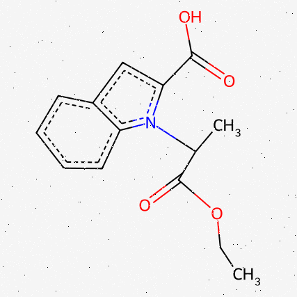 CCOC(=O)C(C)n1c(C(=O)O)cc2ccccc21